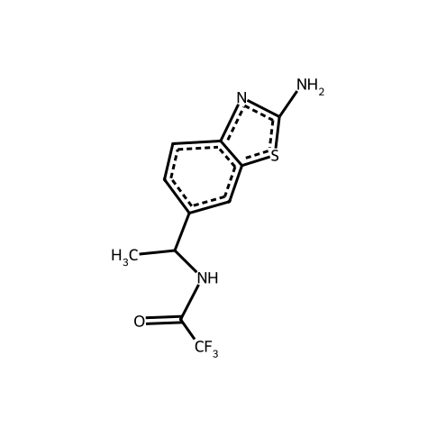 CC(NC(=O)C(F)(F)F)c1ccc2nc(N)sc2c1